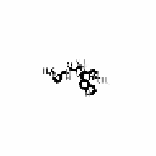 Cn1ccc(-c2nc(N)c(C(=O)NCc3cccn3C)nc2-c2ccc3ncccc3c2)n1